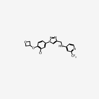 FC(F)(F)c1cc(NCc2cn(-c3ccc(OC4COC4)c(Cl)c3)nn2)ccn1